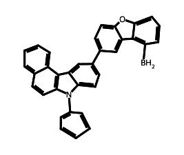 Bc1cccc2oc3ccc(-c4ccc5c(c4)c4c6ccccc6ccc4n5-c4ccccc4)cc3c12